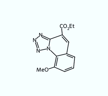 CCOC(=O)c1cc2cccc(OC)c2n2nnnc12